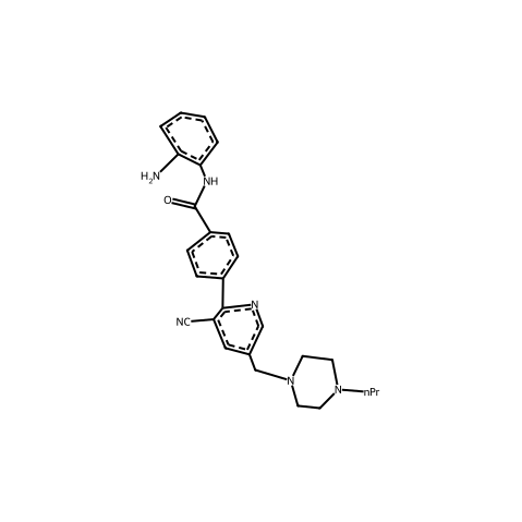 CCCN1CCN(Cc2cnc(-c3ccc(C(=O)Nc4ccccc4N)cc3)c(C#N)c2)CC1